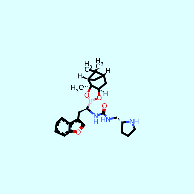 CC1(C)[C@@H]2C[C@H]3OB([C@H](Cc4coc5ccccc45)NC(=O)NC[C@H]4CCCN4)O[C@@]3(C)[C@H]1C2